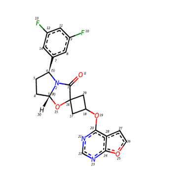 O=C1N2[C@@H](CC[C@H]2c2cc(F)cc(F)c2)OC12CC(Oc1ncnc3occc13)C2